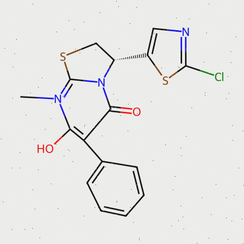 C[n+]1c(O)c(-c2ccccc2)c(=O)n2c1SC[C@@H]2c1cnc(Cl)s1